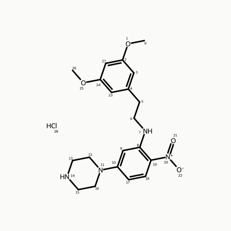 COc1cc(CCNc2cc(N3CCNCC3)ccc2[N+](=O)[O-])cc(OC)c1.Cl